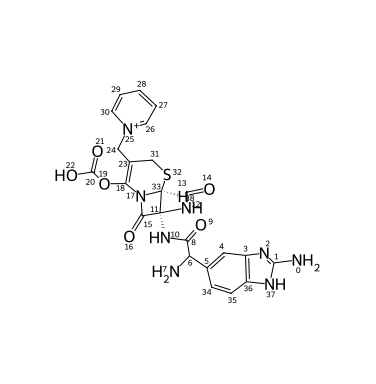 Nc1nc2cc(C(N)C(=O)N[C@]3(NC=O)C(=O)N4C(OC(=O)O)=C(C[n+]5ccccc5)CS[C@H]43)ccc2[nH]1